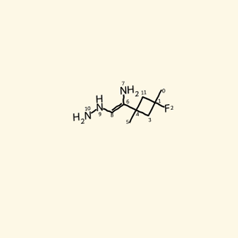 CC1(F)CC(C)(/C(N)=C/NN)C1